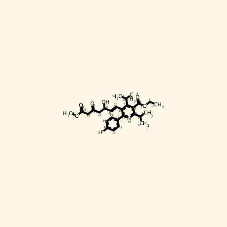 CCOC(=O)c1c(C(C)C)nc(-c2ccc(F)cc2)c(C=CC(O)CC(=O)CC(=O)OC)c1C(C)C